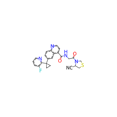 N#CC1CSCN1C(=O)CNC(=O)c1ccnc2ccc(C3(c4ncccc4F)CC3)cc12